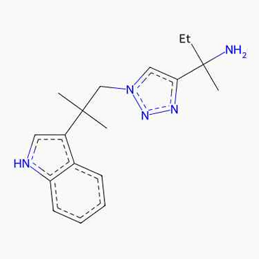 CCC(C)(N)c1cn(CC(C)(C)c2c[nH]c3ccccc23)nn1